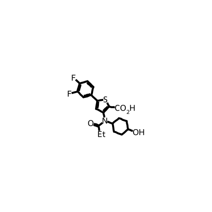 CCC(=O)N(c1cc(-c2ccc(F)c(F)c2)sc1C(=O)O)C1CCC(O)CC1